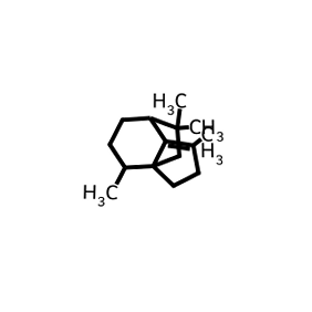 CC1=C2C3CCC(C)C2(CC1)CC3(C)C